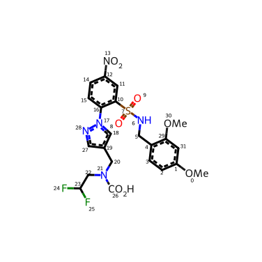 COc1ccc(CNS(=O)(=O)c2cc([N+](=O)[O-])ccc2-n2cc(CN(CC(F)F)C(=O)O)cn2)c(OC)c1